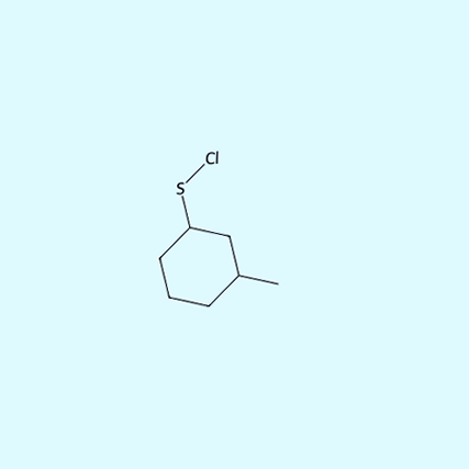 CC1CCCC(SCl)C1